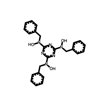 ON(Cc1ccccc1)c1nc(N(O)Cc2ccccc2)nc(N(O)Cc2ccccc2)n1